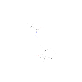 CCC(C)(C)C(=O)NOCC12CCC(CC1=O)C2(C)C